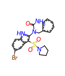 NC(=O)N(Cc1ccccc1)c1[nH]c2ccc(Br)cc2c1S(=O)(=O)N1CCCC1